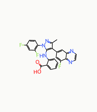 Cc1nn(-c2ccc(F)cc2F)c(Nc2ccccc2C(=O)O)c1-c1cc(F)c2nccnc2c1